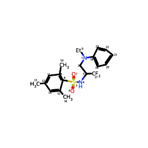 CCN(CC(NS(=O)(=O)c1c(C)cc(C)cc1C)C(F)(F)F)c1ccccc1